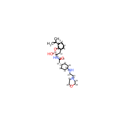 C=C(C)c1cccc2c1OB(O)[C@@H](NC(=O)C[C@H]1CC[C@H](NCCN3CCOCC3)CC1)C2